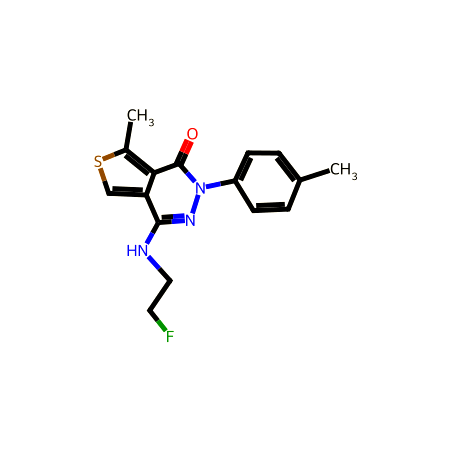 Cc1ccc(-n2nc(NCCF)c3csc(C)c3c2=O)cc1